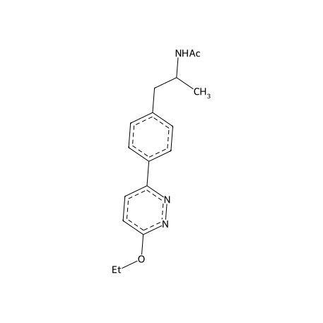 CCOc1ccc(-c2ccc(CC(C)NC(C)=O)cc2)nn1